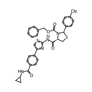 N#Cc1ccc(C2SC[C@@H](C(=O)Nc3nc(-c4ccc(C(=O)NC5CC5)cc4)cs3)N2C(=O)OCc2ccccc2)cc1